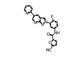 N#Cc1ccc(C(=O)Nc2ccc(F)c(-n3cc4cc(-c5ccccn5)cnc4n3)c2)o1